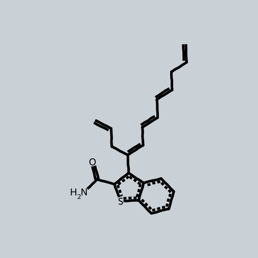 C=CCC=CC=CC=C(CC=C)c1c(C(N)=O)sc2ccccc12